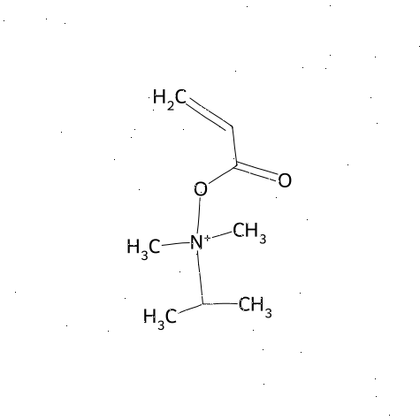 C=CC(=O)O[N+](C)(C)C(C)C